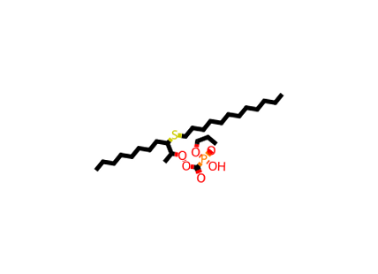 CCCCCCCCCCCCSC(CCCCCCCC)C(C)OOC(=O)P(=O)(O)OCCC